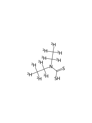 [2H]C([2H])([2H])C([2H])([2H])N(C(=S)S)C([2H])([2H])C([2H])([2H])[2H]